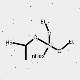 CCCCCC[Si](OCC)(OCC)OC(C)S